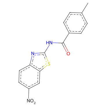 Cc1ccc(C(=O)Nc2nc3ccc([N+](=O)[O-])cc3s2)cc1